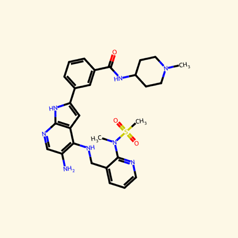 CN1CCC(NC(=O)c2cccc(-c3cc4c(NCc5cccnc5N(C)S(C)(=O)=O)c(N)cnc4[nH]3)c2)CC1